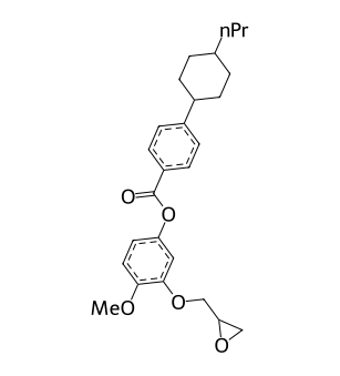 CCCC1CCC(c2ccc(C(=O)Oc3ccc(OC)c(OCC4CO4)c3)cc2)CC1